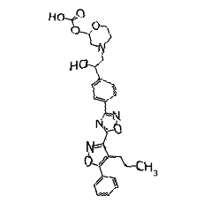 CCCc1c(-c2nc(-c3ccc(C(O)CN4CCOC(OC(=O)O)C4)cc3)no2)noc1-c1ccccc1